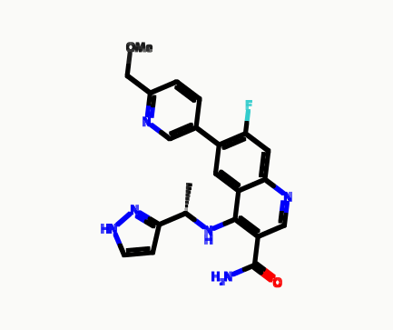 COCc1ccc(-c2cc3c(N[C@@H](C)c4cc[nH]n4)c(C(N)=O)cnc3cc2F)cn1